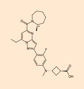 CCc1cc(C(=O)N2CCCCC[C@H]2C)nc2cc(-c3ccc(N(C)[C@H]4C[C@H](C(=O)O)C4)cc3F)nn12